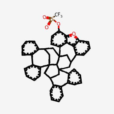 O=S(=O)(Oc1ccc2c3c1oc1cccc(c13)C1CC34CC(CC56CC(CC2(C1)C53)c1ccccc1-c1ccccc16)c1ccccc1-c1ccccc14)C(F)(F)F